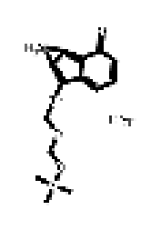 C[Si](C)(C)OCO[CH2][Ti+2][C]1=C2[SiH2]C2=C2C(=O)C=CC=C12.[Cl-].[Cl-]